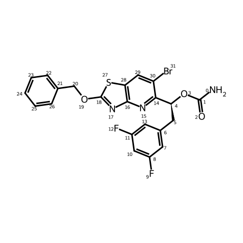 NC(=O)O[C@@H](Cc1cc(F)cc(F)c1)c1nc2nc(OCc3ccccc3)sc2cc1Br